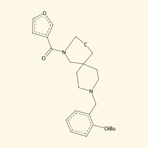 CC(C)COc1ccccc1CN1CCC2(CCCN(C(=O)c3ccoc3)C2)CC1